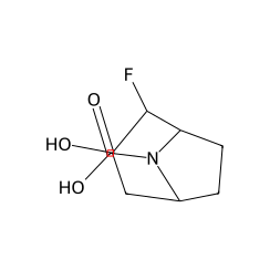 O=C(O)N1C2CCC1C(F)C(O)C2